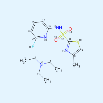 CCN(CC)CC.Cc1csc(S(=O)(=O)Nc2cccc(F)n2)n1